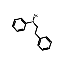 CC(=O)N(CCc1ccccc1)c1ccccc1